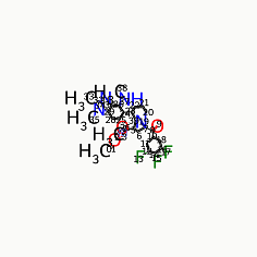 CCO/C=C/c1cc(C(=O)c2cc(F)c(F)c(F)c2)n2cccc(-c3c(OC)cc4c(nc(C)n4C)c3NC)c12